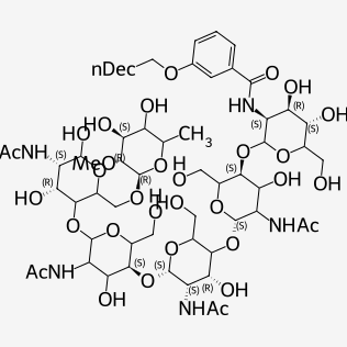 CCCCCCCCCCCOc1cccc(C(=O)N[C@@H]2C(O[C@@H]3C(CO)O[C@@H](OC4C(CO)O[C@@H](O[C@@H]5C(CO)OC(OC6C(CO[C@@H]7OC(C)C(O)[C@H](O)[C@H]7OC)OC(O)[C@@H](NC(C)=O)[C@H]6O)C(NC(C)=O)C5O)[C@@H](NC(C)=O)[C@H]4O)C(NC(C)=O)C3O)OC(CO)[C@@H](O)[C@@H]2O)c1